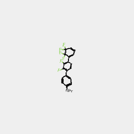 CCCc1ccc(-c2ccc(C3=CC=CC(F)(F)C3(F)F)c(F)c2F)cc1